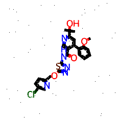 COc1ccccc1-c1cc(C(C)(C)O)ncc1C(=O)Nc1nnc(OCc2ccc(Cl)cn2)s1